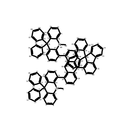 CN1c2ccccc2C(c2ccccc2)(c2ccccc2)c2cccc(-c3cccc4c(-c5cccc6c5C5(c7ccccc7-c7ccccc75)c5ccccc5-6)c5cccc(-c6cccc7c6N(C)c6ccccc6C7(c6ccccc6)c6ccccc6)c5cc34)c21